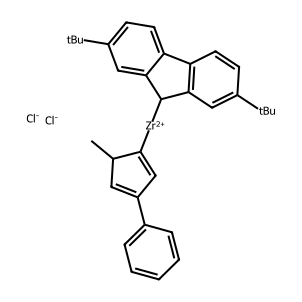 CC1C=C(c2ccccc2)C=[C]1[Zr+2][CH]1c2cc(C(C)(C)C)ccc2-c2ccc(C(C)(C)C)cc21.[Cl-].[Cl-]